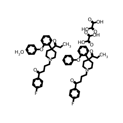 CCC(=O)C1(c2ccccc2Oc2ccccc2)CCN(CCCC(=O)c2ccc(F)cc2)CC1.CCC(=O)C1(c2ccccc2Oc2ccccc2)CCN(CCCC(=O)c2ccc(F)cc2)CC1.O.O=C(O)C(=O)O.O=C(O)C(=O)O